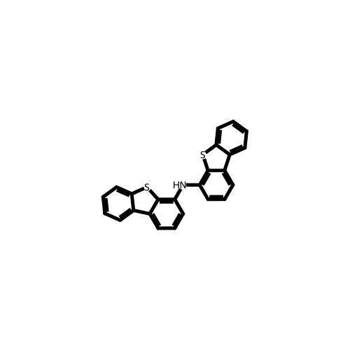 c1ccc2c(c1)sc1c(Nc3cccc4c3sc3ccccc34)cccc12